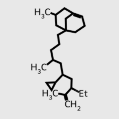 C=C(C)C(CC)CC(CC(C)CCCC12CCC=C(CC(C)C1)C2)C1CC1